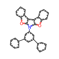 c1ccc(-c2cc(-c3ccccc3)cc(-n3c4oc5ccccc5c4c4c5ccccc5oc43)c2)cc1